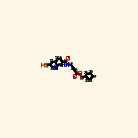 O=C(C#CCNC(=O)c1ccc2cc(S)cnc2c1)OCc1ccccc1